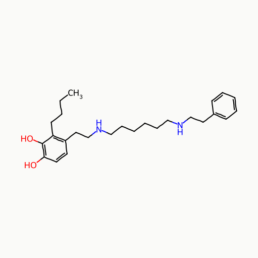 CCCCc1c(CCNCCCCCCNCCc2ccccc2)ccc(O)c1O